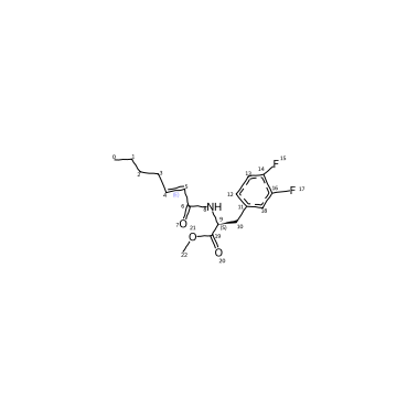 CCCC/C=C/C(=O)N[C@@H](Cc1ccc(F)c(F)c1)C(=O)OC